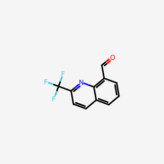 O=Cc1cccc2ccc(C(F)(F)F)nc12